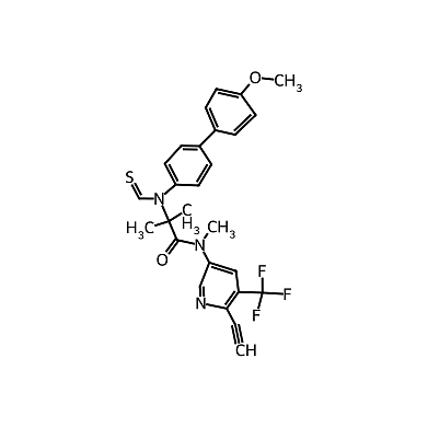 C#Cc1ncc(N(C)C(=O)C(C)(C)N(C=S)c2ccc(-c3ccc(OC)cc3)cc2)cc1C(F)(F)F